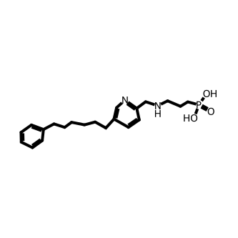 O=P(O)(O)CCCNCc1ccc(CCCCCCc2ccccc2)cn1